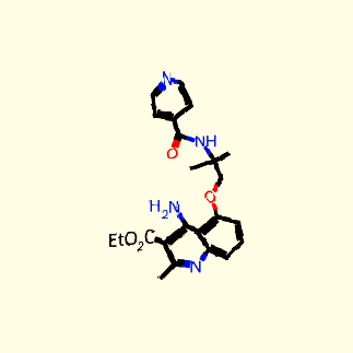 CCOC(=O)c1c(C)nc2cccc(OCC(C)(C)NC(=O)c3ccncc3)c2c1N